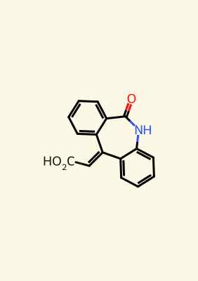 O=C(O)C=C1c2ccccc2NC(=O)c2ccccc21